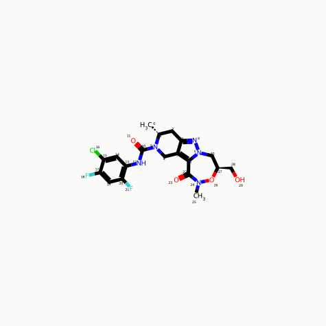 C[C@@H]1Cc2nn3c(c2CN1C(=O)Nc1cc(Cl)c(F)cc1F)C(=O)N(C)O[C@H](CO)C3